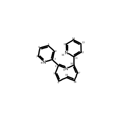 C1=C\C(c2ccccn2)=N\C(c2ccccn2)=C/C=C/1